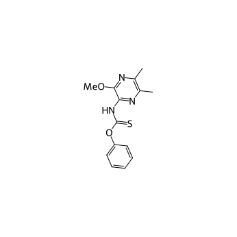 COc1nc(C)c(C)nc1NC(=S)Oc1ccccc1